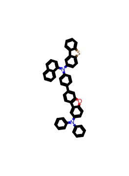 c1ccc(N(c2ccccc2)c2ccc3oc4cc(-c5ccc(N(c6ccc7sc8ccccc8c7c6)c6cccc7ccccc67)cc5)ccc4c3c2)cc1